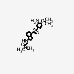 CC(C)Oc1ccc(-c2ncc(-c3cccc4c3CC[C@@H]4NCC(=O)N(C)C)s2)cc1N